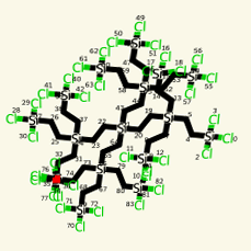 Cl[Si](Cl)(Cl)CC[Si](CC[Si](Cl)(Cl)Cl)(CC[Si](Cl)(Cl)Cl)CC[Si](CC[Si](CC[Si](Cl)(Cl)Cl)(CC[Si](Cl)(Cl)Cl)CC[Si](Cl)(Cl)Cl)(CC[Si](CC[Si](Cl)(Cl)Cl)(CC[Si](Cl)(Cl)Cl)CC[Si](Cl)(Cl)Cl)CC[Si](CC[Si](Cl)(Cl)Cl)(CC[Si](Cl)(Cl)Cl)CC[Si](Cl)(Cl)Cl